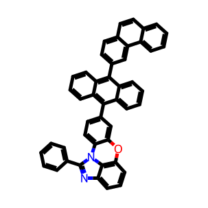 c1ccc(-c2nc3cccc4c3n2-c2ccc(-c3c5ccccc5c(-c5ccc6ccc7ccccc7c6c5)c5ccccc35)cc2O4)cc1